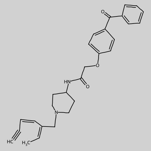 C#C/C=C\C(=C/C)CN1CCC(NC(=O)COc2ccc(C(=O)c3ccccc3)cc2)CC1